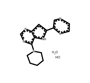 Cl.O.c1cnc(-c2cc3ncnc(N4CCCCC4)c3[nH]2)cn1